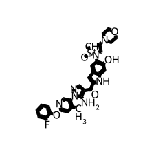 Cc1cc(Oc2ccccc2F)ncc1-n1ncc(C(=O)c2cc3cc(N(CCN4CCOCC4)[S+](C)[O-])c(O)cc3[nH]2)c1N